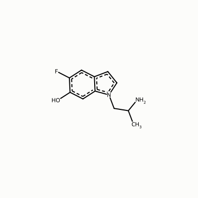 CC(N)Cn1ccc2cc(F)c(O)cc21